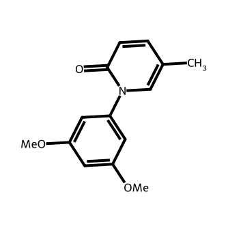 COc1cc(OC)cc(-n2cc(C)ccc2=O)c1